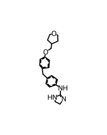 c1cc(NC2=NCCN2)ccc1Cc1ccc(OCC2CCOCC2)cc1